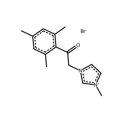 Cc1cc(C)c(C(=O)Cn2cc[n+](C)c2)c(C)c1.[Br-]